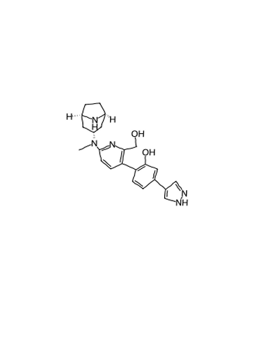 CN(c1ccc(-c2ccc(-c3cn[nH]c3)cc2O)c(CO)n1)[C@@H]1C[C@H]2CC[C@@H](C1)N2